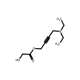 CCN(CC)CC#CCOC(=O)CO